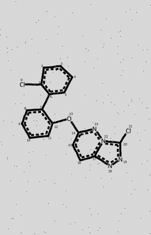 Clc1ccccc1-c1ccccc1Oc1ccc2nnc(Cl)n2n1